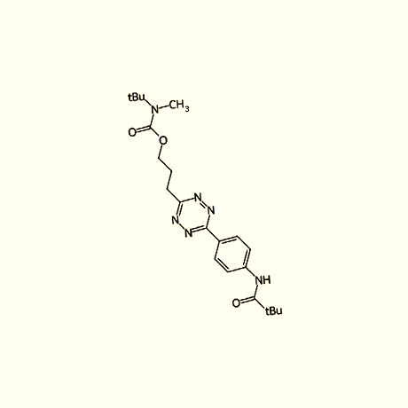 CN(C(=O)OCCCc1nnc(-c2ccc(NC(=O)C(C)(C)C)cc2)nn1)C(C)(C)C